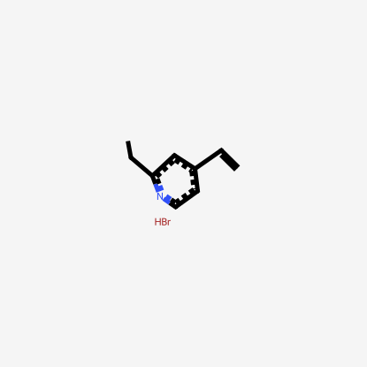 Br.C=Cc1ccnc(CC)c1